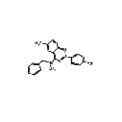 Cc1ccc2nc(-c3ccc(Br)cc3)nc(N(C)Cc3ccccc3)c2c1